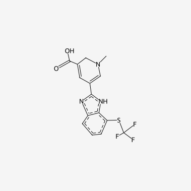 CN1C=C(c2nc3cccc(SC(F)(F)F)c3[nH]2)C=C(C(=O)O)C1